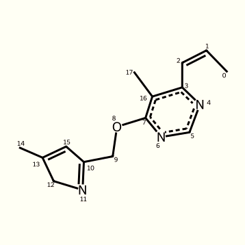 C/C=C\c1ncnc(OCC2=NCC(C)=C2)c1C